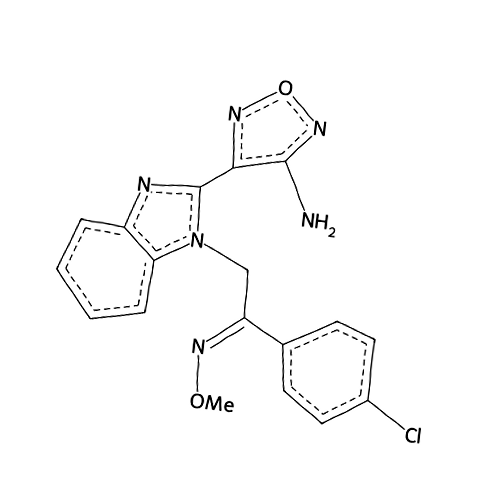 CON=C(Cn1c(-c2nonc2N)nc2ccccc21)c1ccc(Cl)cc1